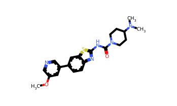 COc1cncc(-c2ccc3nc(NC(=O)N4CCC(N(C)C)CC4)sc3c2)c1